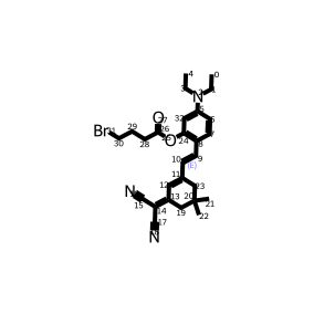 CCN(CC)c1ccc(/C=C/C2=CC(=C(C#N)C#N)CC(C)(C)C2)c(OC(=O)CCCBr)c1